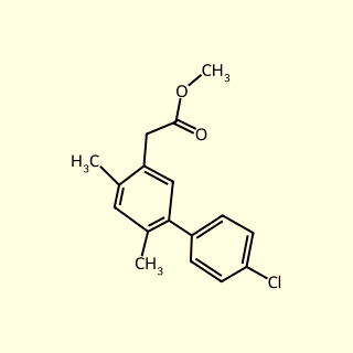 COC(=O)Cc1cc(-c2ccc(Cl)cc2)c(C)cc1C